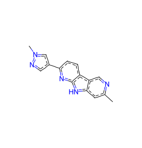 Cc1cc2[nH]c3nc(-c4cnn(C)c4)ccc3c2cn1